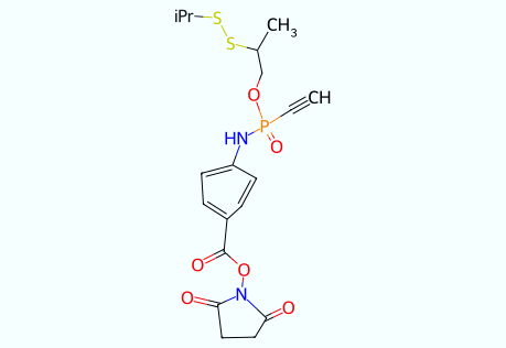 C#CP(=O)(Nc1ccc(C(=O)ON2C(=O)CCC2=O)cc1)OCC(C)SSC(C)C